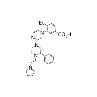 CCc1ccc(C(=O)O)cc1N1C=CN=C(N2CCN(CCN3CCCC3)C(c3ccccc3)C2)C1